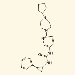 O=C(Nc1ccc(N2CCN(C3CCCC3)CC2)nc1)N[C@@H]1C[C@H]1c1ccccc1